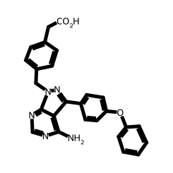 Nc1ncnc2c1c(-c1ccc(Oc3ccccc3)cc1)nn2Cc1ccc(CC(=O)O)cc1